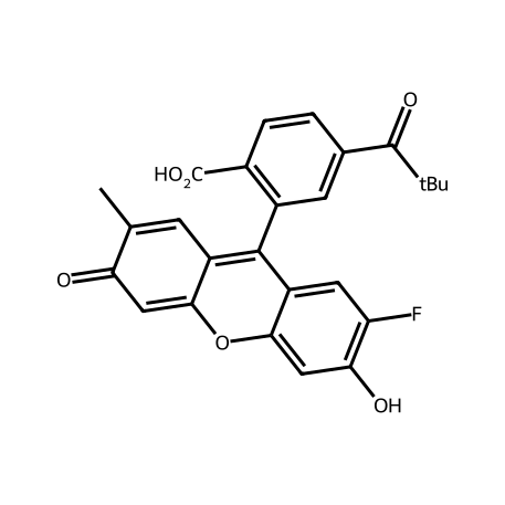 Cc1cc2c(-c3cc(C(=O)C(C)(C)C)ccc3C(=O)O)c3cc(F)c(O)cc3oc-2cc1=O